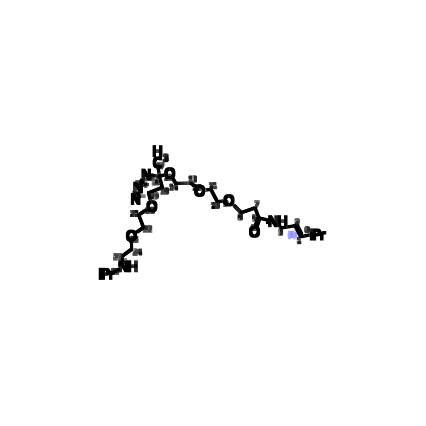 CC(C)/C=C/CNC(=O)CCOCCOCCOC(C)(CCOCCOCCNC(C)C)N=[N+]=[N-]